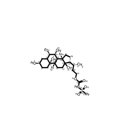 CC[C@@H]1C2C[C@H](O)CC[C@@]2(C)[C@H]2CCC3(C)[C@@H]([C@H](C)CCOC(=O)NS(=O)(=O)C(C)C)CC[C@H]3C2[C@@H]1O